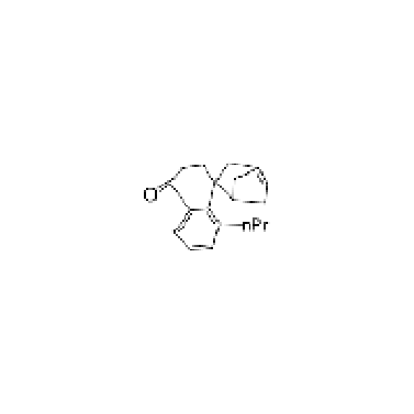 CCCc1cccc2c1C1(CCC2=O)CC2=CCC1C2